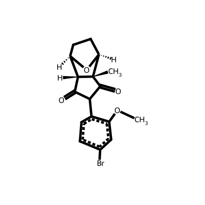 COc1cc(Br)ccc1C1C(=O)[C@@H]2[C@H]3CC[C@H](O3)[C@]2(C)C1=O